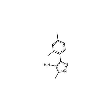 Cc1ccc(-c2nnc(C)n2N)c(C)c1